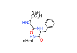 CCCCCCNC(=O)[C@H](Cc1ccccc1)NC(=O)[C@H]1N[C@@H]1C(=O)O.[NaH]